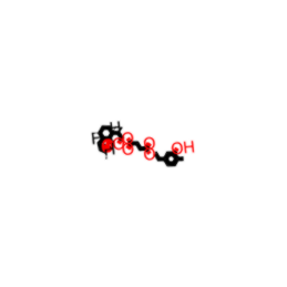 Cc1ccc(CCOC(=O)CCC(=O)O[C@@H]2O[C@@H]3O[C@]4(C)CC[C@H]5[C@H](C)CC[C@@H]([C@H]2C)C35OO4)cc1O